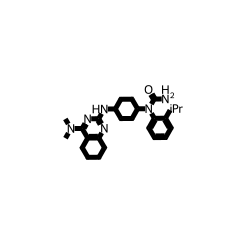 CC(C)c1ccccc1N(C(N)=O)C1CCC(Nc2nc3c(c(N(C)C)n2)CCCC3)CC1